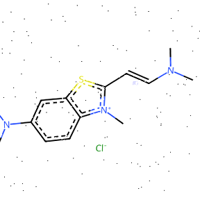 CN(C)/C=C/c1sc2cc(N(C)C)ccc2[n+]1C.[Cl-]